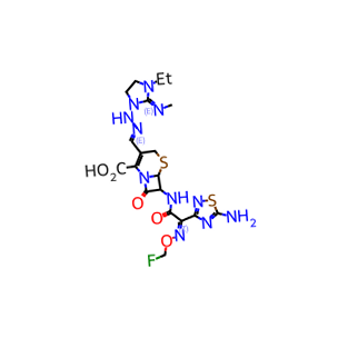 CCN1CCN(N/N=C/C2=C(C(=O)O)N3C(=O)C(NC(=O)/C(=N\OCF)c4nsc(N)n4)C3SC2)/C1=N/C